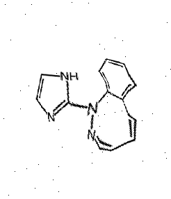 C1=Cc2ccccc2N(c2ncc[nH]2)N=C1